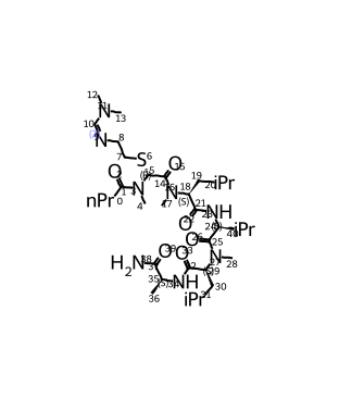 CCCC(=O)N(C)[C@H](SCC/N=C\N(C)C)C(=O)N(C)[C@@H](CC(C)C)C(=O)N[C@H](C(=O)N(C)[C@@H](CC(C)C)C(=O)N[C@@H](C)C(N)=O)C(C)C